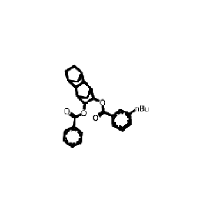 CCCCc1cccc(C(=O)OC2C3CC(C2OC(=O)c2ccccc2)C2C4CCC(C4)C32)c1